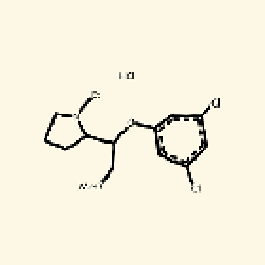 CCN1CCCC1C(COC)Oc1cc(Cl)cc(Cl)c1.Cl